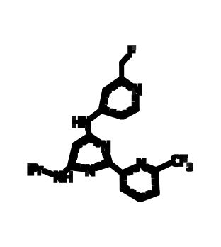 CC(C)Nc1cc(Nc2ccnc(CF)c2)nc(-c2cccc(C(F)(F)F)n2)n1